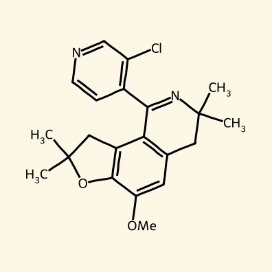 COc1cc2c(c3c1OC(C)(C)C3)C(c1ccncc1Cl)=NC(C)(C)C2